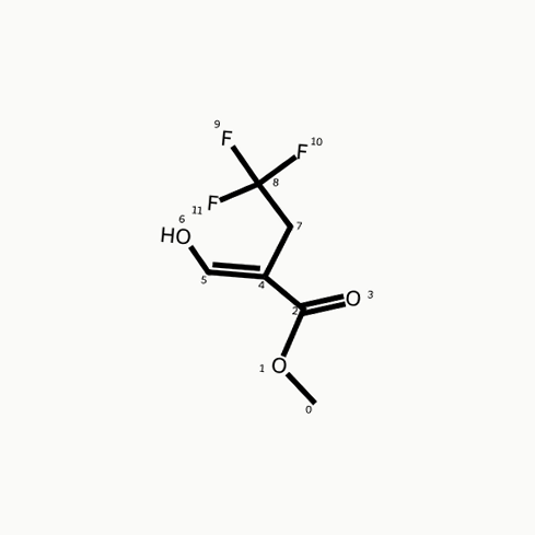 COC(=O)C(=CO)CC(F)(F)F